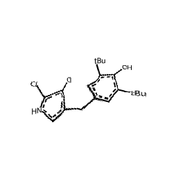 CC(C)(C)c1cc(Cc2c[nH]c(Cl)c2Cl)cc(C(C)(C)C)c1O